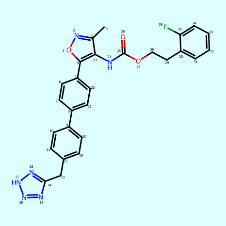 Cc1noc(-c2ccc(-c3ccc(Cc4nn[nH]n4)cc3)cc2)c1NC(=O)OCCc1ccccc1F